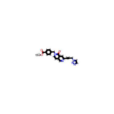 CC(C)(C)OC(=O)c1ccc(Cn2ccc3cnc(C#CCn4ccnn4)cc3c2=O)cc1